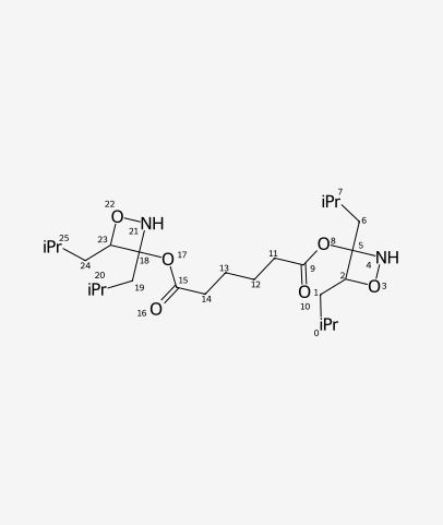 CC(C)CC1ONC1(CC(C)C)OC(=O)CCCCC(=O)OC1(CC(C)C)NOC1CC(C)C